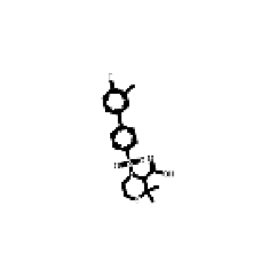 Cc1cc(-c2ccc(S(=O)(=O)N3CCSC(C)(C)C3C(=O)O)cc2)ccc1F